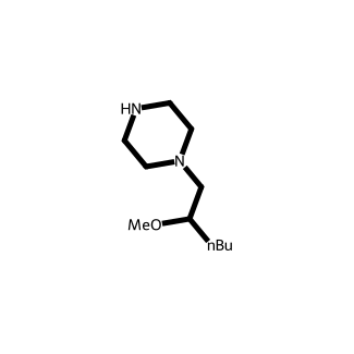 CCCCC(CN1CCNCC1)OC